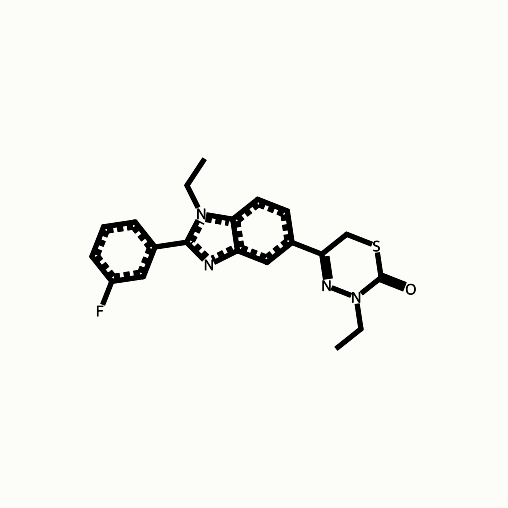 CCN1N=C(c2ccc3c(c2)nc(-c2cccc(F)c2)n3CC)CSC1=O